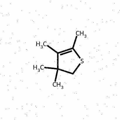 CC1=C(C)C(C)(C)CS1